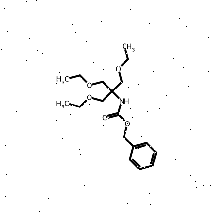 CCOCC(COCC)(COCC)NC(=O)OCc1ccccc1